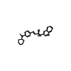 CN(c1ccc(/C=C/C(=O)Nc2cnc3ccccc3c2)cc1)C1CCCCC1